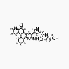 CC(C)(O)c1cccc(Cn2cc(-c3nc(-c4cc(Cl)c5ncccc5c4)c(-c4ccccc4)nc3N)cn2)n1